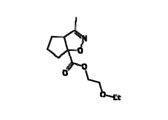 CCOCCOC(=O)C12CCCC1C(C)=NO2